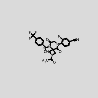 CC(=O)N1CC2(C1)C(=O)N(c1ccc(C#N)cc1F)CC(=O)N2[C@@H](C)c1ccc(C(F)(F)F)cc1